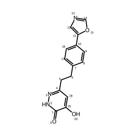 O=c1[nH]nc(CCc2ccc(-c3cnco3)cc2)cc1O